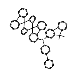 CC1(C)c2ccccc2-c2ccc(N(c3ccc(-c4ccccc4)cc3)c3cccc4c3-c3ccccc3C43c4ccccc4C4(c5ccccc5-c5ccccc54)c4ccccc43)cc21